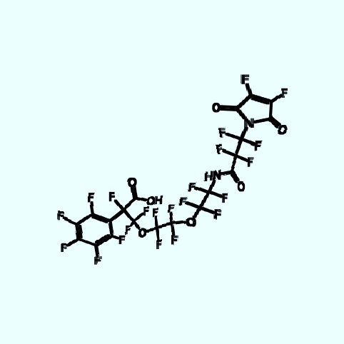 O=C1C(F)=C(F)C(=O)N1C(F)(F)C(F)(F)C(=O)NC(F)(F)C(F)(F)OC(F)(F)C(F)(F)OC(F)(F)C(F)(C(=O)O)c1c(F)c(F)c(F)c(F)c1F